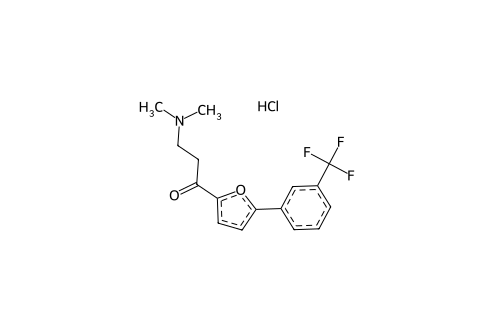 CN(C)CCC(=O)c1ccc(-c2cccc(C(F)(F)F)c2)o1.Cl